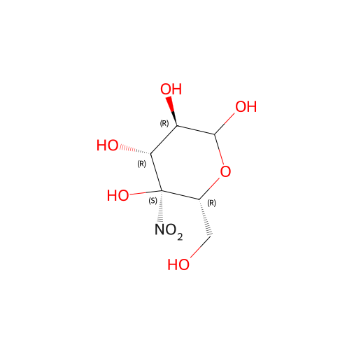 O=[N+]([O-])[C@]1(O)[C@H](O)[C@@H](O)C(O)O[C@@H]1CO